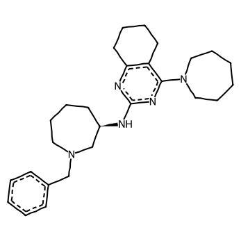 c1ccc(CN2CCCC[C@@H](Nc3nc4c(c(N5CCCCCC5)n3)CCCC4)C2)cc1